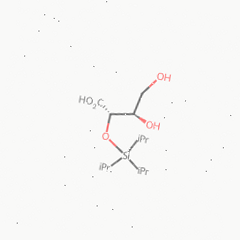 CC(C)[Si](O[C@H](C(=O)O)[C@H](O)CO)(C(C)C)C(C)C